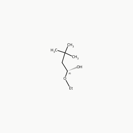 CCO[C@@H](O)CC(C)(C)C